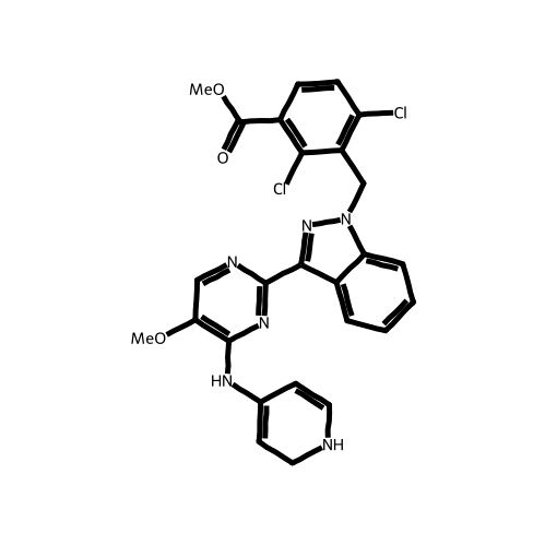 COC(=O)c1ccc(Cl)c(Cn2nc(-c3ncc(OC)c(NC4=CCNC=C4)n3)c3ccccc32)c1Cl